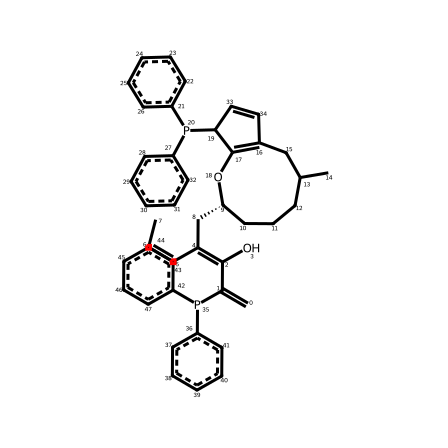 C=C(/C(O)=C(\C=C/C)C[C@H]1CCCC(C)CC2=C(O1)C(P(c1ccccc1)c1ccccc1)C=C2)P(c1ccccc1)c1ccccc1